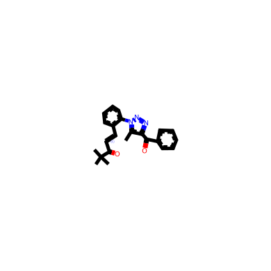 Cc1c(C(=O)c2ccccc2)nnn1-c1ccccc1/C=C/C(=O)C(C)(C)C